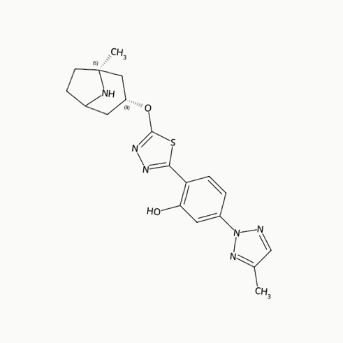 Cc1cnn(-c2ccc(-c3nnc(O[C@@H]4CC5CC[C@@](C)(C4)N5)s3)c(O)c2)n1